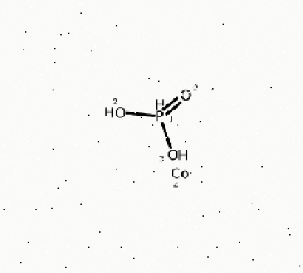 O=[PH](O)O.[Co]